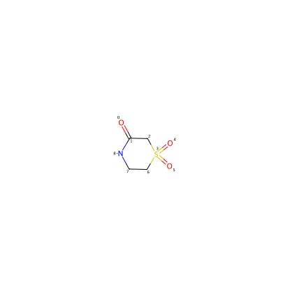 O=C1CS(=O)(=O)CC[N]1